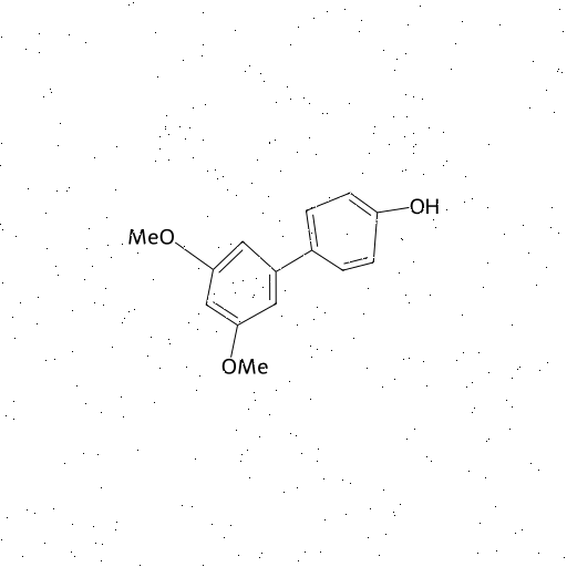 COc1cc(OC)cc(-c2ccc(O)cc2)c1